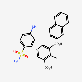 Cc1c(C(=O)O)cccc1C(=O)O.Nc1ccc(S(N)(=O)=O)cc1.c1ccc2ccccc2c1